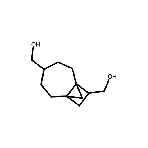 OCC1CCC23CC(CO)C2(CC1)C3